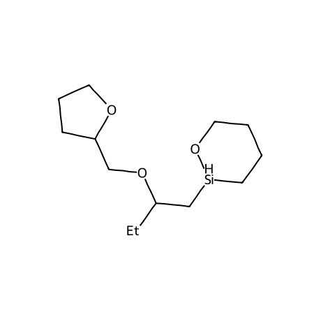 CCC(C[SiH]1CCCCO1)OCC1CCCO1